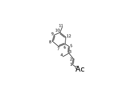 CC(=O)/C=C/C(C)=C/c1cccc(C)c1